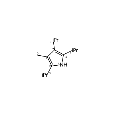 Cc1c(C(C)C)[nH]c(C(C)C)c1C(C)C